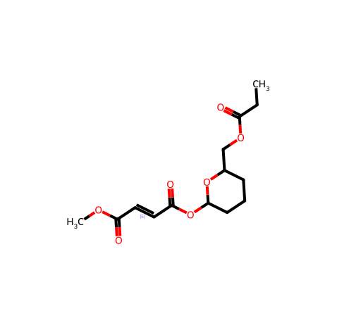 CCC(=O)OCC1CCCC(OC(=O)/C=C/C(=O)OC)O1